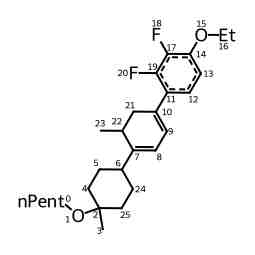 CCCCCOC1(C)CCC(C2=CC=C(c3ccc(OCC)c(F)c3F)CC2C)CC1